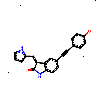 O=C1Nc2ccc(C#Cc3ccc(O)cc3)cc2C1=Cc1ccc[nH]1